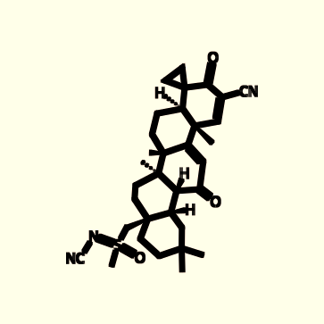 CC1(C)CC[C@]2(CS(C)(=O)=NC#N)CC[C@]3(C)[C@H](C(=O)C=C4[C@@]5(C)C=C(C#N)C(=O)C6(CC6)[C@@H]5CC[C@]43C)[C@@H]2C1